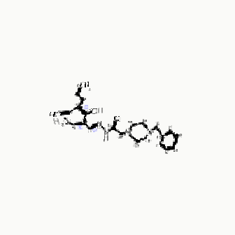 C#C\C(CC=C)=C(O)/C(=C\C)/C=N/NC(=O)CN1CCN(Cc2ccccc2)CC1